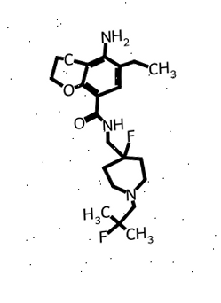 CCc1cc(C(=O)NCC2(F)CCN(CC(C)(C)F)CC2)c2c(c1N)CCCO2